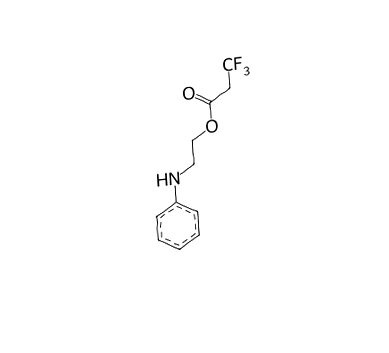 O=C(CC(F)(F)F)OCCNc1ccccc1